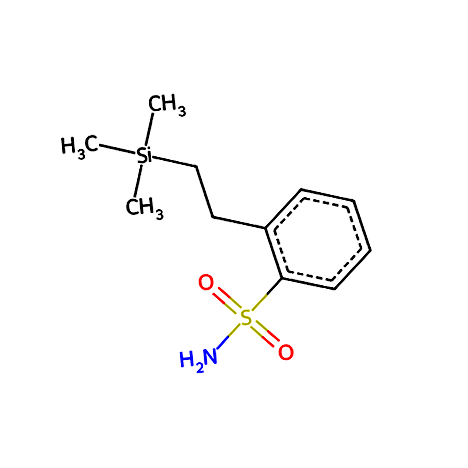 C[Si](C)(C)CCc1ccccc1S(N)(=O)=O